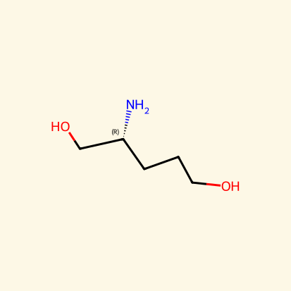 N[C@@H](CO)CCCO